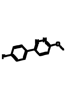 COc1ccc(-c2ccc(F)cc2)nn1